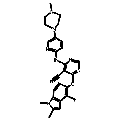 Cc1cc2c(F)c(Oc3ncnc(Nc4ccc(N5CCN(C)CC5)cn4)c3C#N)ccc2n1C